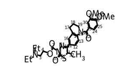 CCN(CC)CCOC(=O)N1N=C(c2ccc3c(c2)CCCN3C(=O)c2ccc(OC)c(OC)c2)C(C)SC1=O